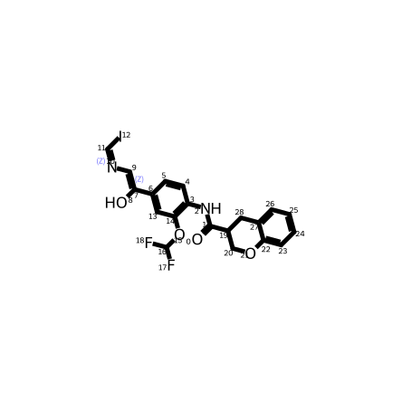 O=C(Nc1ccc(/C(O)=C/N=C\I)cc1OC(F)F)C1COc2ccccc2C1